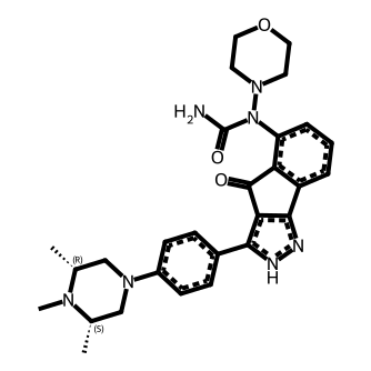 C[C@@H]1CN(c2ccc(-c3[nH]nc4c3C(=O)c3c-4cccc3N(C(N)=O)N3CCOCC3)cc2)C[C@H](C)N1C